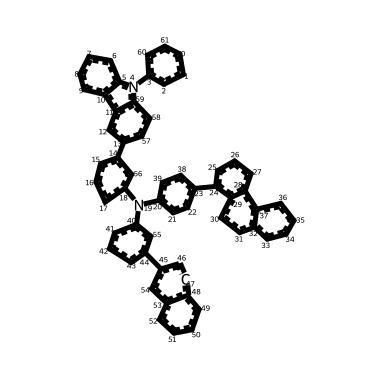 c1ccc(-n2c3ccccc3c3cc(-c4cccc(N(c5ccc(-c6cccc7c6ccc6ccccc67)cc5)c5cccc(-c6ccc7ccccc7c6)c5)c4)ccc32)cc1